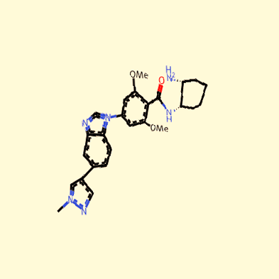 COc1cc(-n2cnc3cc(-c4cnn(C)c4)ccc32)cc(OC)c1C(=O)N[C@H]1CCCC[C@H]1N